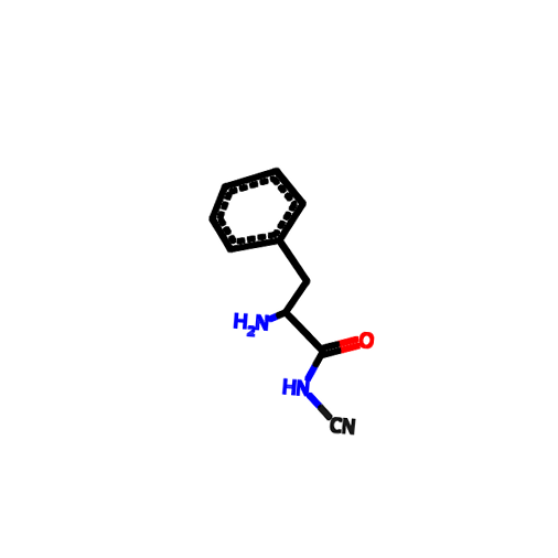 N#CNC(=O)C(N)Cc1ccccc1